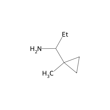 CCC(N)C1(C)CC1